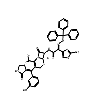 Nc1nc(C(=NOC(c2ccccc2)(c2ccccc2)c2ccccc2)C(=O)N[C@@H]2C(=O)N3C(C(=O)O)=C(C(=C4CCNC4=O)c4cccc(O)c4)CS[C@H]23)cs1